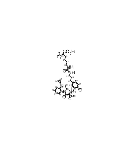 C[N+](C)(C)[C@H](CCCCNC(=O)NCCCc1ccc(Cl)c(CNC2(C(=O)N3CCN(C4CC4)c4ccccc43)CC2)c1)C(=O)O